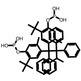 Cc1cc(OP(O)O)c(C(C)(C)C)cc1C(c1ccccc1)(c1cc(C(C)(C)C)c(OP(O)O)cc1C)C(c1ccccc1)(c1ccccc1)C(C)c1ccccc1